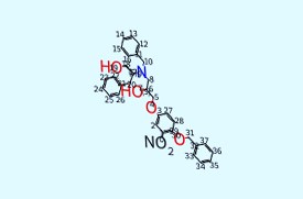 O=[N+]([O-])c1cc(OC[C@@H](O)CN(Cc2ccccc2)[C@H](CO)Cc2ccccc2)ccc1OCc1ccccc1